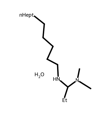 CCCCCCCCCCCCNC(CC)N(C)C.O